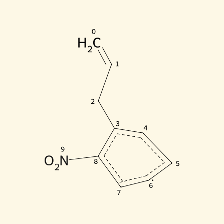 C=CCc1cc[c]cc1[N+](=O)[O-]